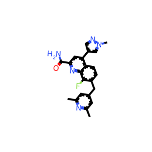 Cc1cc(Cc2ccc3c(-c4cnn(C)c4)cc(C(N)=O)nc3c2F)cc(C)n1